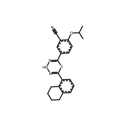 CC(C)Oc1ccc(C2=NNN=C(c3cccc4c3CCCC4)S2)cc1C#N